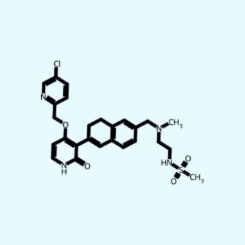 CN(CCNS(C)(=O)=O)Cc1ccc2c(c1)CCC(c1c(OCc3ccc(Cl)cn3)cc[nH]c1=O)=C2